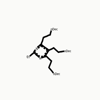 C[CH]c1nc(CCCCCCCCCCCC)c(CCCCCCCCCCCC)c(CCCCCCCCCCCC)n1